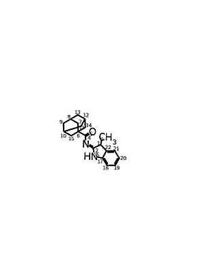 CC1C(=NC(=O)C23CC4CC(CC(C4)C2)C3)Nc2ccccc21